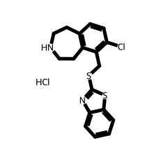 Cl.Clc1ccc2c(c1CSc1nc3ccccc3s1)CCNCC2